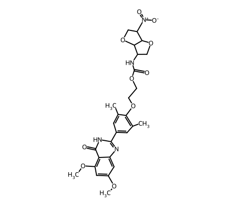 COc1cc(OC)c2c(=O)[nH]c(-c3cc(C)c(OCCOC(=O)NC4COC5C4OCC5[N+](=O)[O-])c(C)c3)nc2c1